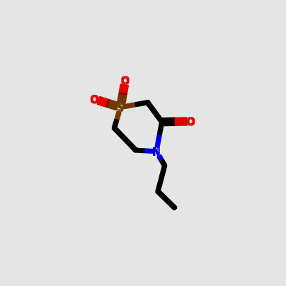 CCCN1CCS(=O)(=O)CC1=O